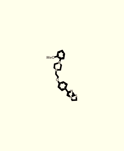 COc1ccccc1N1CCN(CCOc2ccc(-c3cn4c(n3)SCC4)cc2)CC1